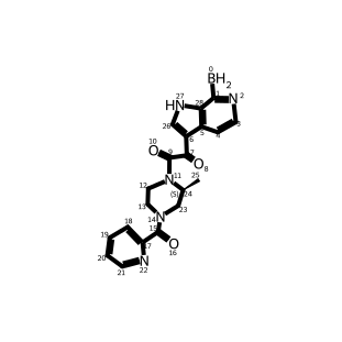 Bc1nccc2c(C(=O)C(=O)N3CCN(C(=O)c4ccccn4)C[C@@H]3C)c[nH]c12